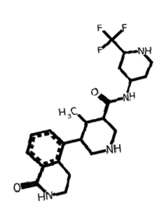 CC1C(C(=O)NC2CCNC(C(F)(F)F)C2)CNCC1c1cccc2c1CCNC2=O